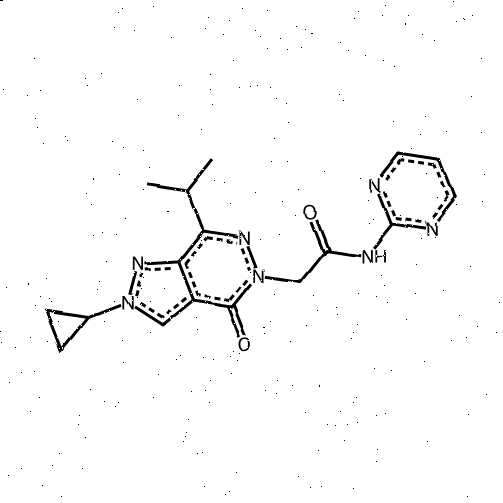 CC(C)c1nn(CC(=O)Nc2ncccn2)c(=O)c2cn(C3CC3)nc12